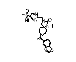 C[C@H](c1ccc2scnc2c1)N1CCC2(CC1)CN(Cc1ncc([S@@](C)(=N)=O)cn1)C(=O)N2